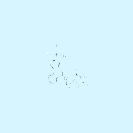 CC(C)(C#N)c1ccc(-c2ccccc2C(=O)NC[C@@]2(C3CC3)NC(=O)NC2=O)cc1